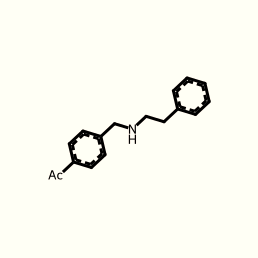 CC(=O)c1ccc(CNCCc2ccccc2)cc1